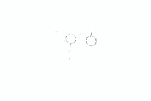 CNC1CN(c2cc(Nc3ccccc3F)nc(N)n2)C1